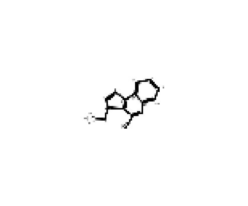 CCC1C=Cc2c1c(Br)cc1ccccc21